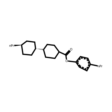 CCCc1ccc(OC(=O)C2CCC([C@H]3CC[C@H](CCC)CC3)CC2)cc1